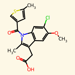 COc1cc2c(CC(=O)O)c(C)n(C(=O)c3csc(C)c3)c2cc1Cl